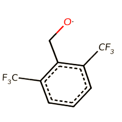 [O]Cc1c(C(F)(F)F)cccc1C(F)(F)F